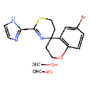 Brc1ccc2c(c1)C1(CCO2)CCSC(c2ncc[nH]2)=N1.O=CO.O=CO